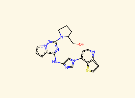 OCC1CCCN1c1nc(Nc2cn(-c3ccnc4ccsc34)cn2)c2cccn2n1